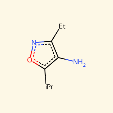 CCc1noc(C(C)C)c1N